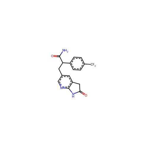 NC(=O)C(Cc1cnc2c(c1)CC(=O)N2)c1ccc(C(F)(F)F)cc1